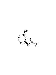 CS1=CC2=C(O)NCCC2=C1